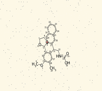 COc1cc(C2OCCO2)c(C(CNC(=O)O)c2ccc3ccccc3c2)cc1C